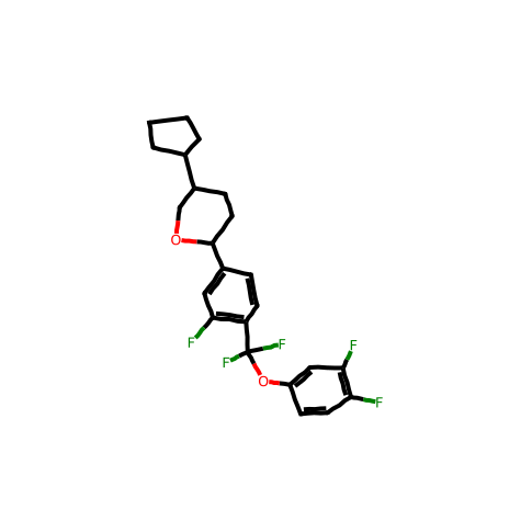 Fc1ccc(OC(F)(F)c2ccc(C3CCC(C4CCCC4)CO3)cc2F)cc1F